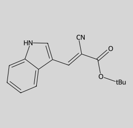 CC(C)(C)OC(=O)/C(C#N)=C/c1c[nH]c2ccccc12